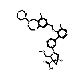 COC[C@H]1N(c2cccc(-c3cccc(C)c3OCc3cc(C)c4c(c3)OCCN(C3CCOCC3)C4)n2)C[C@@H]2C[C@@]21C(=O)O